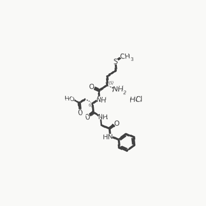 CSCC[C@H](N)C(=O)N[C@@H](CC(=O)O)C(=O)NCC(=O)Nc1ccccc1.Cl